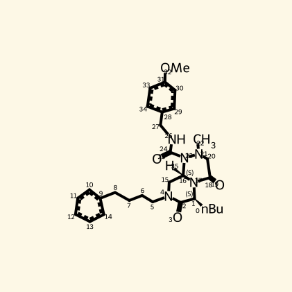 CCCC[C@H]1C(=O)N(CCCCc2ccccc2)C[C@H]2N1C(=O)CN(C)N2C(=O)NCc1ccc(OC)cc1